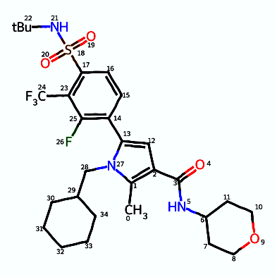 Cc1c(C(=O)NC2CCOCC2)cc(-c2ccc(S(=O)(=O)NC(C)(C)C)c(C(F)(F)F)c2F)n1CC1CCCCC1